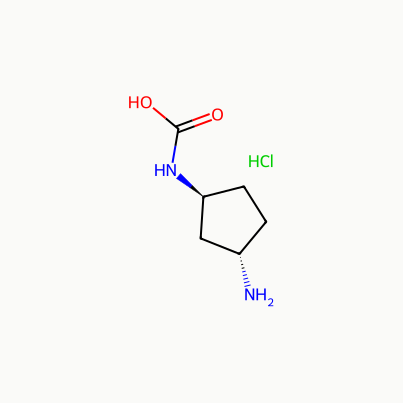 Cl.N[C@H]1CC[C@H](NC(=O)O)C1